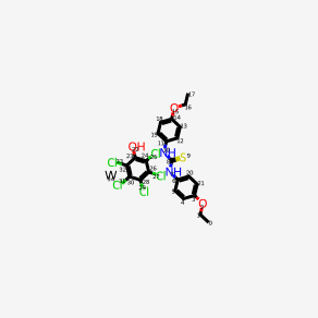 CCOc1ccc(NC(=S)Nc2ccc(OCC)cc2)cc1.Oc1c(Cl)c(Cl)c(Cl)c(Cl)c1Cl.[W]